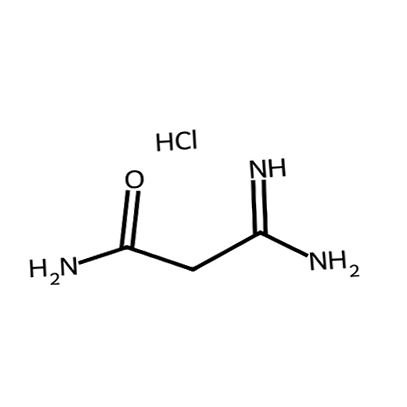 Cl.N=C(N)CC(N)=O